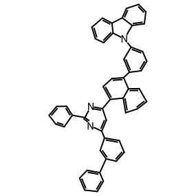 c1ccc(-c2cccc(-c3cc(-c4ccc(-c5cccc(-n6c7ccccc7c7ccccc76)c5)c5ccccc45)nc(-c4ccccc4)n3)c2)cc1